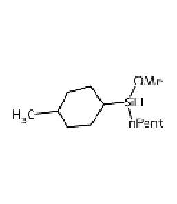 CCCCC[SiH](OC)C1CCC(C)CC1